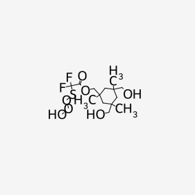 CC1(CO)CC(C)(CO)CC(C)(COC(=O)C(F)(F)SOOO)C1